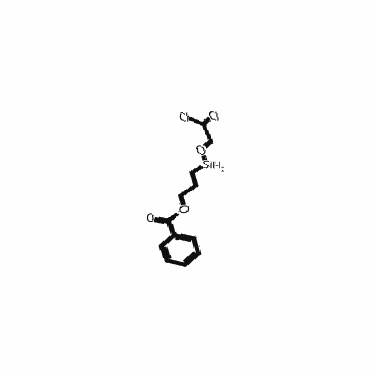 O=C(OCCC[SiH2]OCC(Cl)Cl)c1ccccc1